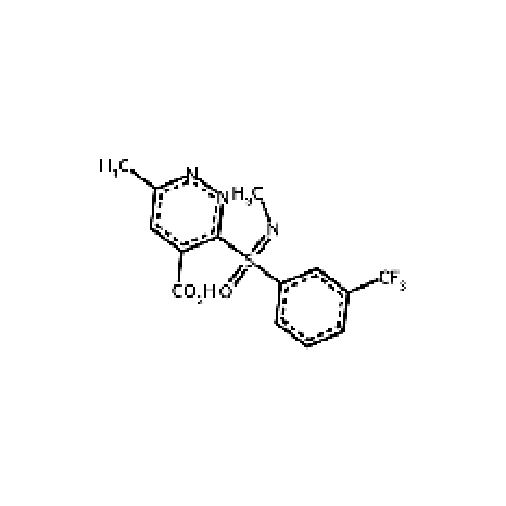 CN=S(=O)(c1cccc(C(F)(F)F)c1)c1nnc(C)cc1C(=O)O